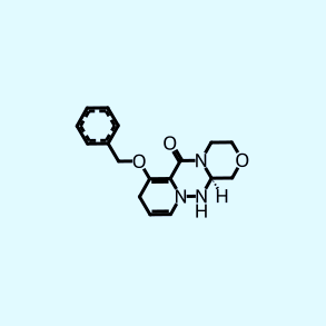 O=C1C2=C(OCc3ccccc3)CC=CN2N[C@@H]2COCCN12